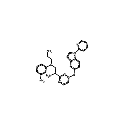 NCCN(CC(N)c1nccc(Oc2ccc3c(ccn3-c3ccccn3)c2)n1)c1cccc(N)c1